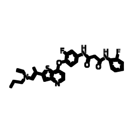 C=CN(/C=C(\C)c1cc2nccc(Oc3ccc(NC(=O)CC(=O)Nc4ccccc4F)cc3F)c2s1)CCC